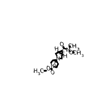 CCOC(=O)N1CC2CCC1CC2N1C[C@@H]2[C@H](C1)[C@H]2C(=O)N(C)OC